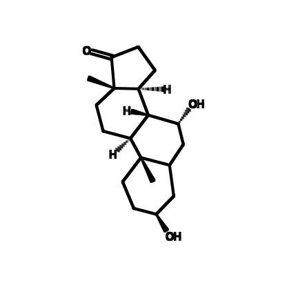 C[C@]12CC[C@H](O)CC1C[C@@H](O)[C@@H]1[C@@H]2CC[C@]2(C)C(=O)CC[C@@H]12